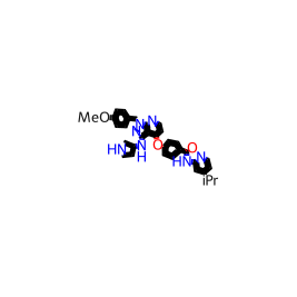 COc1ccc(Cn2nc(NC3CCNC3)c3c(Oc4ccc(C(=O)Nc5cc(C(C)C)ccn5)cc4)ccnc32)cc1